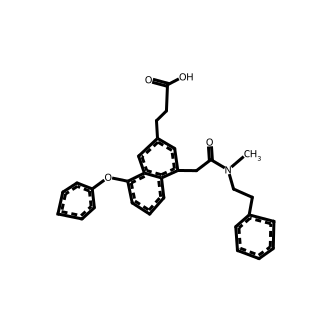 CN(CCc1ccccc1)C(=O)Cc1cc(CCC(=O)O)cc2c(Oc3ccccc3)cccc12